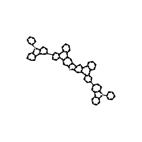 c1ccc(-n2c3ccccc3c3cc(-c4ccc5c(c4)c4ccccc4c4cc6c(cc54)sc4cc5c7ccc(-c8ccc9c(c8)c8ccccc8n9-c8ccccc8)cc7c7ccccc7c5cc46)ccc32)cc1